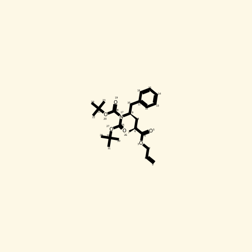 C=CCOC(=O)[C@@H](C)C[C@H](Cc1ccccc1)N(C(=O)OC(C)(C)C)C(=O)OC(C)(C)C